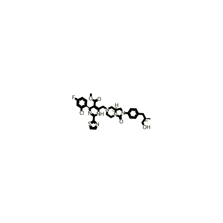 COC(=O)C1=C(CN2CCN3C(=O)N(c4ccc(C[C@@H](C)CO)cc4)C[C@@H]3C2)NC(c2nccs2)=N[C@H]1c1ccc(F)cc1Cl